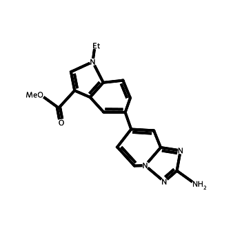 CCn1cc(C(=O)OC)c2cc(-c3ccn4nc(N)nc4c3)ccc21